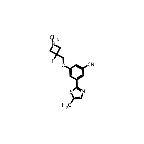 Cc1cnc(-c2cc(C#N)cc(OCC3(F)CN(C)C3)c2)s1